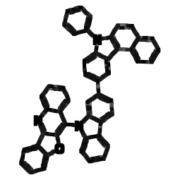 c1ccc(-n2c3ccc(-c4ccc5c6ccccc6n(-c6c7ccccc7nc7c6oc6ccccc67)c5c4)cc3c3c4ccccc4ccc32)cc1